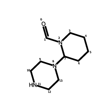 O=CN1CCCCC1N1CCNCC1